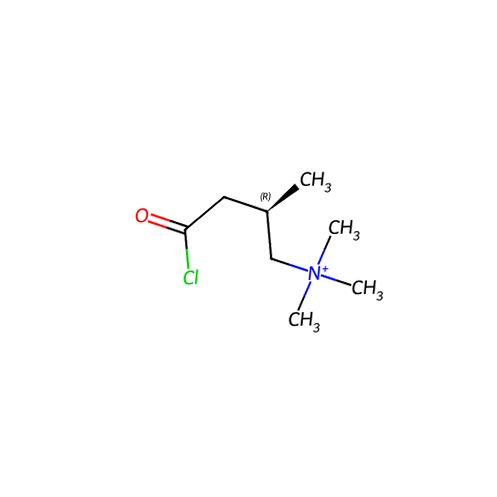 C[C@H](CC(=O)Cl)C[N+](C)(C)C